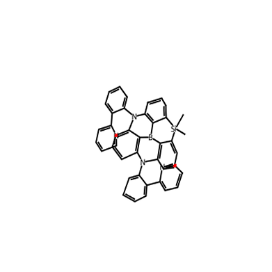 C[Si]1(C)c2cccc3c2B2c4c(cccc4N(c4ccccc4-c4ccccn4)c4cccc1c42)N3c1ccccc1-c1ccccn1